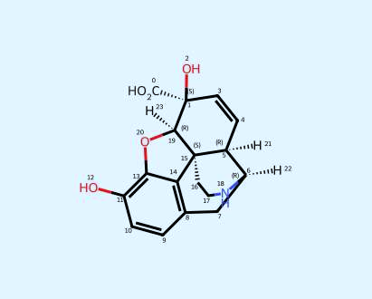 O=C(O)[C@]1(O)C=C[C@H]2[C@H]3Cc4ccc(O)c5c4[C@@]2(CCN3)[C@H]1O5